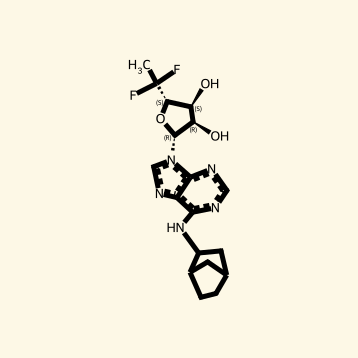 CC(F)(F)[C@H]1O[C@@H](n2cnc3c(NC4CC5CCC4C5)ncnc32)[C@H](O)[C@@H]1O